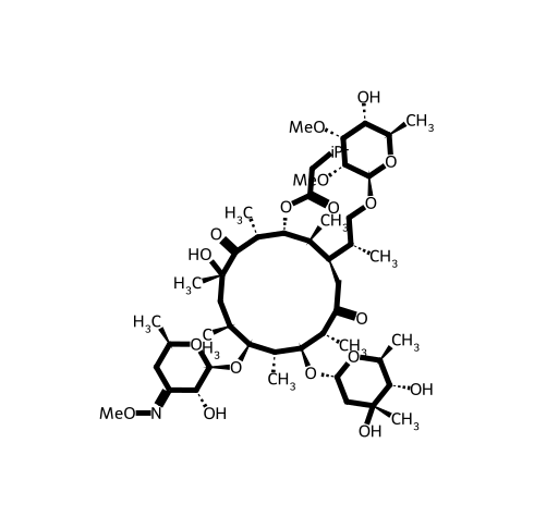 CON=C1C[C@@H](C)O[C@@H](O[C@@H]2[C@@H](C)[C@H](O[C@H]3C[C@@](C)(O)[C@@H](O)[C@H](C)O3)[C@@H](C)C(=O)C[C@H]([C@@H](C)CO[C@@H]3O[C@H](C)[C@@H](O)[C@@H](OC)[C@H]3OC)[C@H](C)[C@@H](OC(=O)CC(C)C)[C@@H](C)C(=O)[C@@](C)(O)C[C@@H]2C)[C@@H]1O